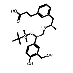 C[C@H](Cc1cccc(CCC(=O)O)c1)NC[C@H](O[Si](C)(C)C(C)(C)C)c1ccc(O)c(CO)c1